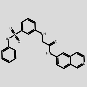 O=C(CNc1cccc(S(=O)(=O)Nc2ccccc2)c1)Nc1ccc2cnccc2c1